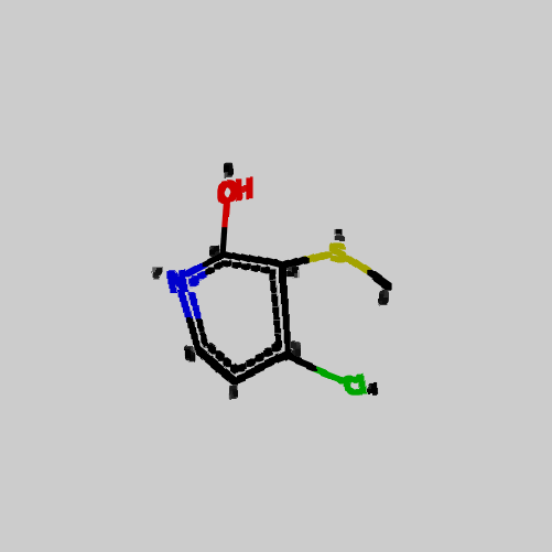 CSc1c(Cl)ccnc1O